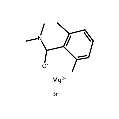 Cc1cccc(C)c1C([O-])N(C)C.[Br-].[Mg+2]